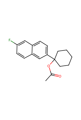 CC(=O)OC1(c2ccc3cc(F)ccc3c2)CCCCC1